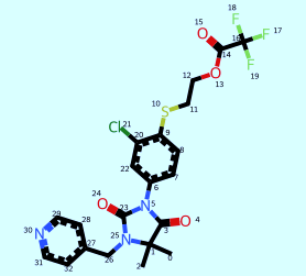 CC1(C)C(=O)N(c2ccc(SCCOC(=O)C(F)(F)F)c(Cl)c2)C(=O)N1Cc1ccncc1